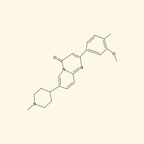 COc1cc(-c2cc(=O)n3cc(C4CCN(C)CC4)ccc3n2)ccc1C